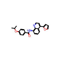 CC(C)Oc1ccc(C(=O)Nc2cccc3c(-c4ccco4)ccnc23)cc1